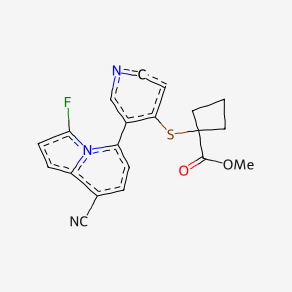 COC(=O)C1(Sc2ccncc2-c2ccc(C#N)c3ccc(F)n23)CCC1